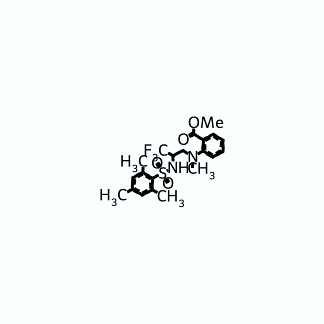 COC(=O)c1ccccc1N(C)CC(NS(=O)(=O)c1c(C)cc(C)cc1C)C(F)(F)F